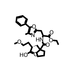 CCOC(=O)C(Cc1nc(C)c(-c2ccccc2)o1)NC(=O)C1(C[C@@H](CCOC)C(=O)O)CCCC1